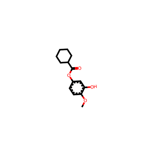 COc1ccc(OC(=O)C2CCCCC2)cc1O